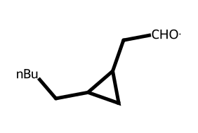 CCCCCC1CC1C[C]=O